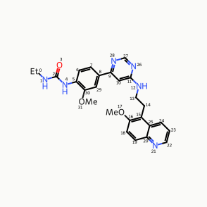 CCNC(=O)Nc1ccc(-c2cc(NCCc3c(OC)ccc4ncccc34)ncn2)cc1OC